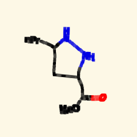 CCCC1CC(C(=O)OC)NN1